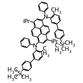 Cc1ccc(-c2ccc([Si](C)(C)C)cc2)cc1N(c1ccccc1)c1cc(C(C)C)c2ccc3c(N(c4ccccc4)c4cc(-c5ccc([Si](C)(C)C)cc5)ccc4C)cc(C(C)C)c4ccc1c2c43